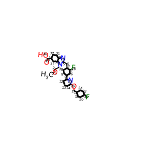 COCCn1c(Cc2ccc(-c3cccc(OCc4ccc(F)cc4)n3)cc2F)nc2ccc(C(=O)O)cc21